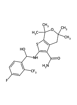 CC1(C)Cc2c(sc(NC(O)c3ccc(F)cc3C(F)(F)F)c2C(N)=O)C(C)(C)O1